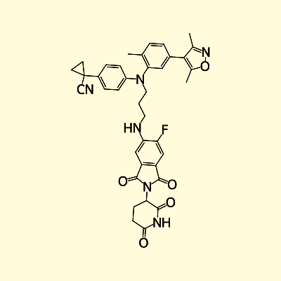 Cc1ccc(-c2c(C)noc2C)cc1N(CCCNc1cc2c(cc1F)C(=O)N(C1CCC(=O)NC1=O)C2=O)c1ccc(C2(C#N)CC2)cc1